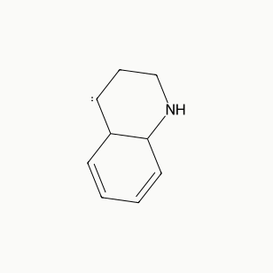 [C]1CCNC2C=CC=CC12